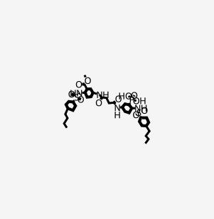 CCCCc1ccc(S(=O)(=O)Nc2ccc(NC(=O)CCC(=O)Nc3ccc(NS(=O)(=O)c4ccc(CCCC)cc4)c(P(=O)(O)O)c3)cc2C(=O)OC)cc1